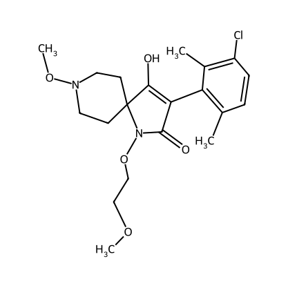 COCCON1C(=O)C(c2c(C)ccc(Cl)c2C)=C(O)C12CCN(OC)CC2